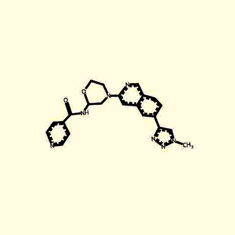 Cn1cc(-c2ccc3cnc(N4CCOC(NC(=O)c5ccncc5)C4)cc3c2)nn1